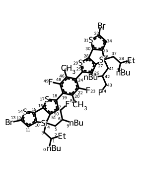 CCCCC(CC)C[Si]1(CC(CF)CCCC)c2cc(Br)sc2-c2sc(-c3c(C)c(F)c(-c4cc5c(s4)-c4sc(Br)cc4[Si]5(CC(CC)CCCC)CC(CF)CCCC)c(C)c3F)cc21